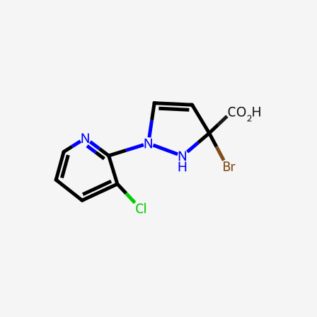 O=C(O)C1(Br)C=CN(c2ncccc2Cl)N1